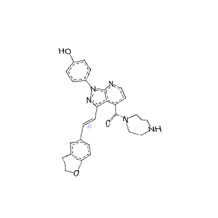 O=C(c1ccnc2c1c(/C=C/c1ccc3c(c1)CCO3)nn2-c1ccc(O)cc1)N1CCNCC1